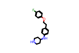 Fc1ccc(OCCc2ccc(NC3CCNCC3)cc2)cc1